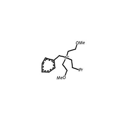 COCC[N+](CCOC)(CCC(C)C)Cc1ccccc1